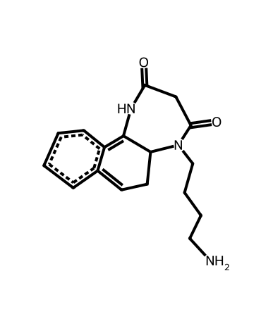 NCCCCN1C(=O)CC(=O)NC2=c3ccccc3=CCC21